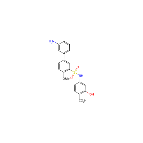 COc1ccc(-c2cccc(N)c2)cc1S(=O)(=O)Nc1ccc(C(=O)O)c(O)c1